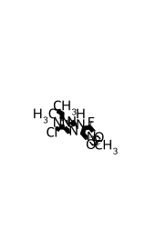 CC(C)Cc1nc(Cl)c2cnc(N[C@H]3CCN(S(C)(=O)=O)C[C@H]3F)nn12